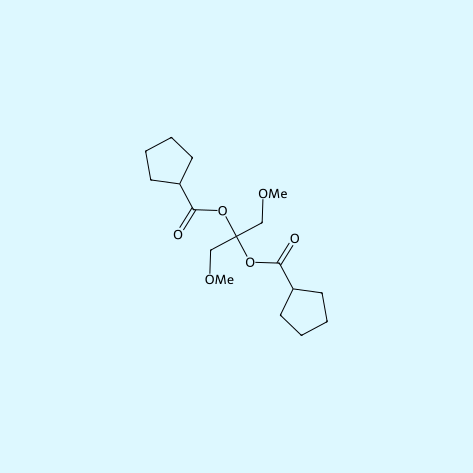 COCC(COC)(OC(=O)C1CCCC1)OC(=O)C1CCCC1